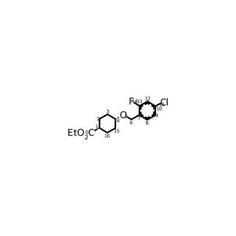 CCOC(=O)[C@H]1CC[C@H](OCc2ccc(Cl)cc2F)CC1